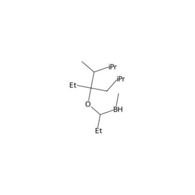 CBC(CC)OC(CC)(CC(C)C)C(C)C(C)C